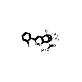 COC(=O)[C@]12CC[C@H](c3cc(-c4ccccc4F)nnc31)C2(C)C